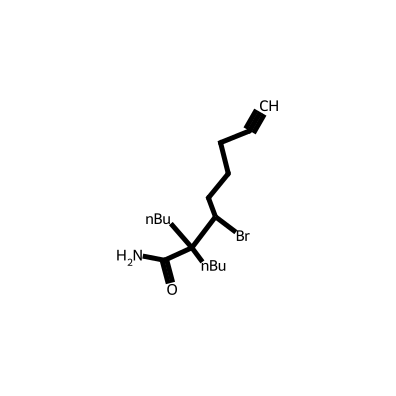 C#CCCCC(Br)C(CCCC)(CCCC)C(N)=O